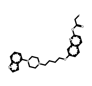 O=C(CI)Oc1ccc2ccc(OCCCCN3CCN(c4cccc5sccc45)CC3)cc2n1